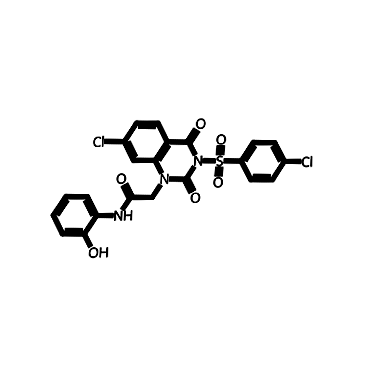 O=C(Cn1c(=O)n(S(=O)(=O)c2ccc(Cl)cc2)c(=O)c2ccc(Cl)cc21)Nc1ccccc1O